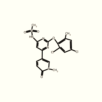 Cc1cc(Cl)cc(Cl)c1Oc1nc(NS(C)(=O)=O)cc(-c2ccc(=O)n(C)c2)n1